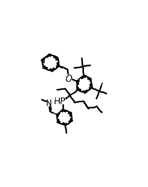 CCCCCC(CC)(Pc1ccc(C)cc1/C=N/C)c1cc(C(C)(C)C)cc(C(C)(C)C)c1OCc1ccccc1